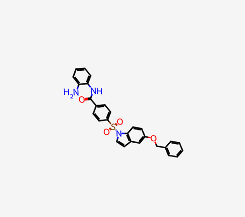 Nc1ccccc1NC(=O)c1ccc(S(=O)(=O)n2ccc3cc(OCc4ccccc4)ccc32)cc1